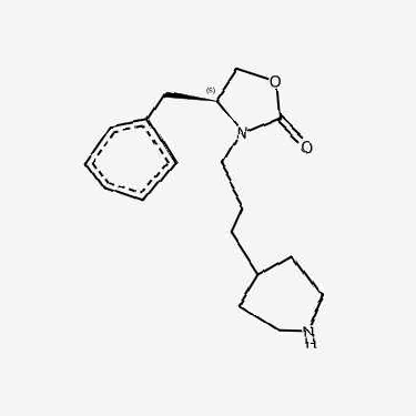 O=C1OC[C@H](Cc2ccccc2)N1CCCC1CCNCC1